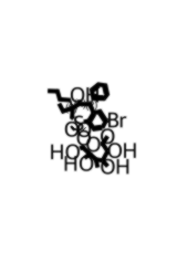 CCCC[C@]1(CC)CS(=O)(=O)c2cc(OC3OC(C)(C(=O)O)C(C)(O)C(O)C3O)c(Br)cc2[C@@H](c2ccccc2)[C@H]1O